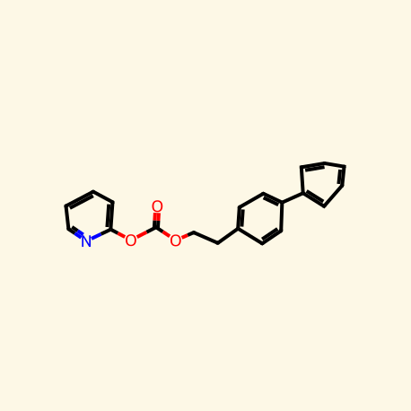 O=C(OCCc1ccc(-c2ccccc2)cc1)Oc1ccccn1